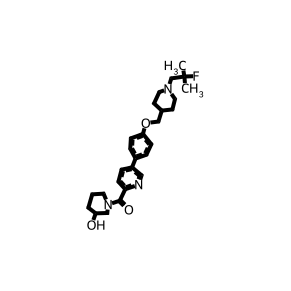 CC(C)(F)CN1CCC(COc2ccc(-c3ccc(C(=O)N4CCCC(O)C4)nc3)cc2)CC1